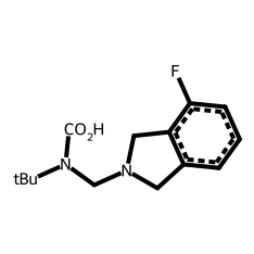 CC(C)(C)N(CN1Cc2cccc(F)c2C1)C(=O)O